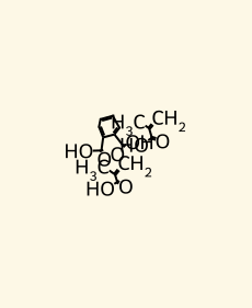 C=C(C)C(=O)O.C=C(C)C(=O)O.O=C(O)c1ccccc1C(=O)O